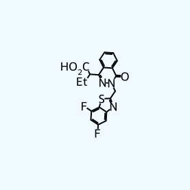 CCC(C(=O)O)c1nn(Cc2nc3cc(F)cc(F)c3s2)c(=O)c2ccccc12